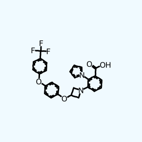 O=C(O)c1cccc(N2CC(Oc3ccc(Oc4ccc(C(F)(F)F)cc4)cc3)C2)c1-n1cccc1